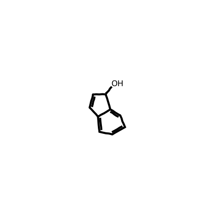 O[C]1C=Cc2ccccc21